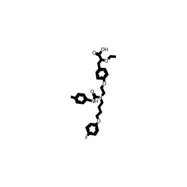 CCOC(Cc1ccc(OCCN(CCCCOc2ccc(F)cc2)C(=O)Nc2ccc(C)cc2)cc1)C(=O)O